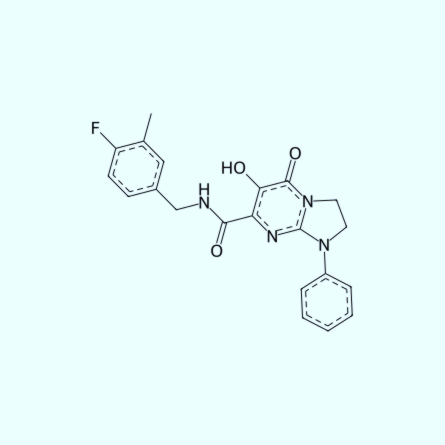 Cc1cc(CNC(=O)c2nc3n(c(=O)c2O)CCN3c2ccccc2)ccc1F